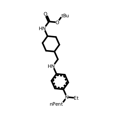 CCCCCN(CC)c1ccc(NCC2CCC(NC(=O)OC(C)(C)C)CC2)cc1